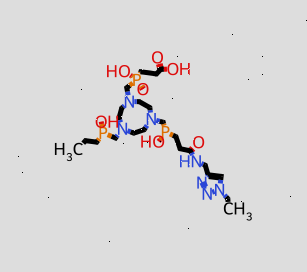 CCCP(O)CN1CCN(CP(O)CCC(=O)NCc2cn(CC)nn2)CCN(CP(=O)(O)CCC(=O)O)CC1